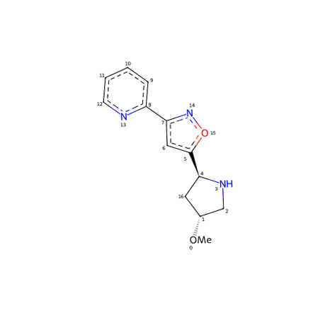 CO[C@H]1CN[C@H](c2cc(-c3ccccn3)no2)C1